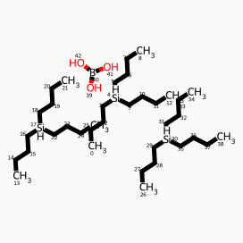 CCCC[SiH](CCCC)CCCC.CCCC[SiH](CCCC)CCCC.CCCC[SiH](CCCC)CCCC.OB(O)O